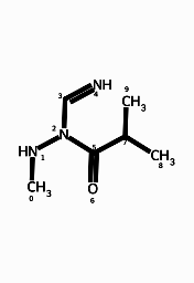 CNN(C=N)C(=O)C(C)C